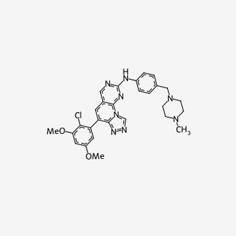 COc1cc(OC)c(Cl)c(-c2cc3cnc(Nc4ccc(CN5CCN(C)CC5)cc4)nc3n3cnnc23)c1